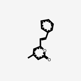 Cc1cc(C=Cc2ccccc2)oc(=O)c1